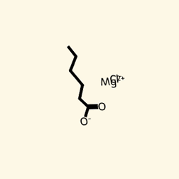 CCCCCC(=O)[O-].[Cl-].[Mg+2]